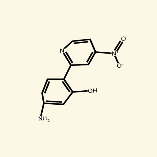 Nc1ccc(-c2cc([N+](=O)[O-])ccn2)c(O)c1